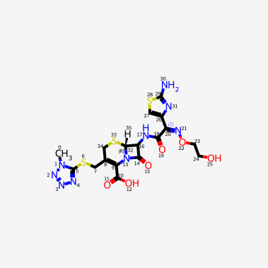 Cn1nnnc1SCC1=C(C(=O)O)N2C(=O)C(NC(=O)/C(=N\OCCO)c3csc(N)n3)[C@H]2SC1